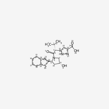 CC(C)[C@@H](C(=O)N1C[C@H](O)C[C@H]1c1nc2ccccc2s1)n1cc(C(=O)O)nn1